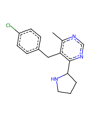 Cc1ncnc(C2CCCN2)c1Cc1ccc(Cl)cc1